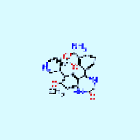 COc1cc2c(c(OC)c1-c1cccnc1)C(c1cccc(C(N)=O)c1)=NCC(=O)N2